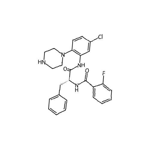 O=C(N[C@H](Cc1ccccc1)C(=O)Nc1cc(Cl)ccc1N1CCNCC1)c1ccccc1F